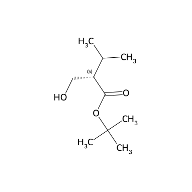 CC(C)[C@@H](CO)C(=O)OC(C)(C)C